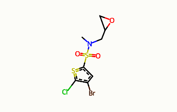 CN(CC1CO1)S(=O)(=O)c1cc(Br)c(Cl)s1